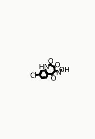 O=C1Nc2cc(Cl)ccc2C(=O)/C(=N/O)C1=O